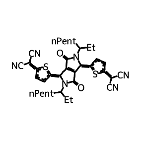 CCCCCC(CC)N1C(=O)C2=C(C(=O)N(C(CC)CCCCC)/C2=c2\ccc(=C(C#N)C#N)s2)/C1=c1/ccc(=C(C#N)C#N)s1